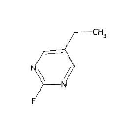 CCc1cnc(F)nc1